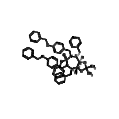 CC1(C)O[C@H]2[C@H](O1)[C@@H](Cc1ccccc1)N(Cc1ccc(OCc3ccccc3)cc1)P(=O)(Oc1ccccc1)N(Cc1ccc(OCc3ccccc3)cc1)[C@@H]2Cc1ccccc1